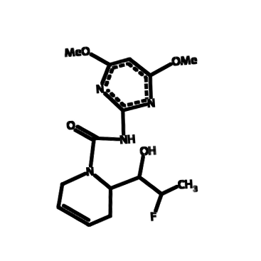 COc1cc(OC)nc(NC(=O)N2CC=CCC2C(O)C(C)F)n1